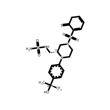 C[C@@](O)(c1ccc(N2CCN(S(=O)(=O)C3=CC=CCC3=S)C[C@H]2CNS(N)(=O)=O)cc1)C(F)(F)F